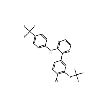 Oc1ccc(-c2nccnc2Nc2ccc(C(F)(F)F)cc2)cc1OC(F)(F)F